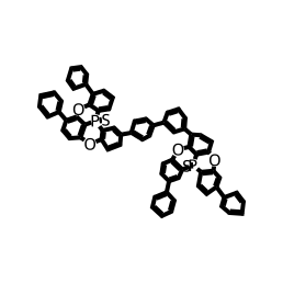 S=P12c3ccc(-c4ccccc4)cc3Oc3ccc(-c4cccc(-c5ccc(-c6ccc7c(c6)P6(=S)c8cccc(-c9ccccc9)c8Oc8c(-c9ccccc9)ccc(c86)O7)cc5)c4)c(c31)Oc1ccc(-c3ccccc3)cc12